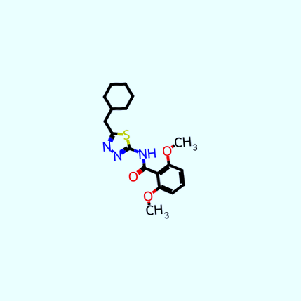 COc1cccc(OC)c1C(=O)Nc1nnc(CC2CCCCC2)s1